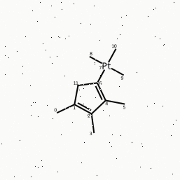 CC1=C(C)C(C)=[C]([Pt]([CH3])([CH3])[CH3])C1